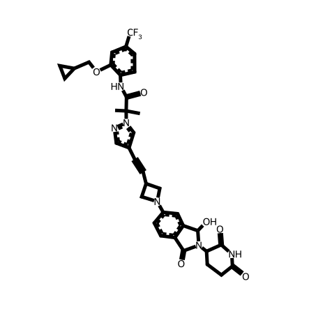 CC(C)(C(=O)Nc1ccc(C(F)(F)F)cc1OCC1CC1)n1cc(C#CC2CN(c3ccc4c(c3)C(O)N(C3CCC(=O)NC3=O)C4=O)C2)cn1